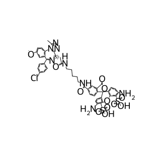 COc1ccc2c(c1)C(c1ccc(Cl)cc1)=N[C@@H](CC(=O)NCCCCCNC(=O)c1ccc3c(c1)C(=O)OC31c3ccc(N)c(S(=O)(=O)O)c3Oc3c1ccc(N)c3S(=O)(=O)O)c1nnc(C)n1-2